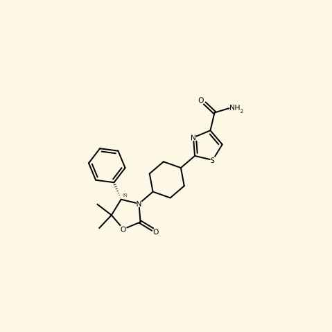 CC1(C)OC(=O)N(C2CCC(c3nc(C(N)=O)cs3)CC2)[C@H]1c1ccccc1